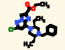 CCOC(=O)c1cn2nc(Cl)cc(N3C[C@@H](CC)N(Cc4ccccc4)C[C@@H]3CC)c2n1